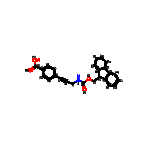 O=C(NCC#Cc1ccc(C(=O)O)cc1)OCC1c2ccccc2-c2ccccc21